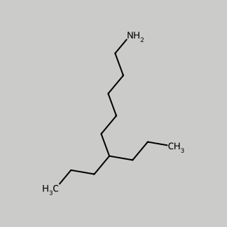 CCCC(CCC)CCCCCN